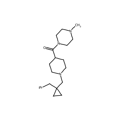 CC(C)CC1(CN2CCC(C(=O)N3CCN(C)CC3)CC2)CC1